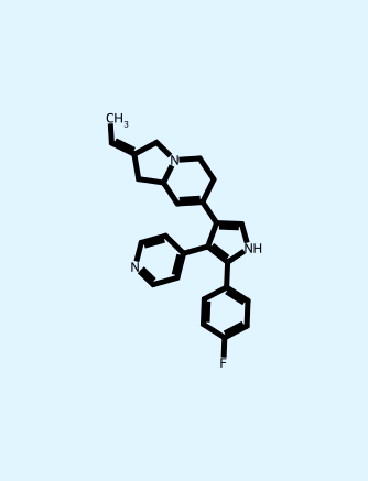 C/C=C1/CC2C=C(c3c[nH]c(-c4ccc(F)cc4)c3-c3ccncc3)CCN2C1